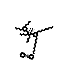 CCCCCCCC=Cc1cc(C=CCCCCCCC)cc(C2=C(CCCC)C(CCCC)=C(c3cc(CCCC)cc(CCCC)c3)[N+]2=[N-])c1.c1cc[c]([Ni][c]2ccccc2)cc1